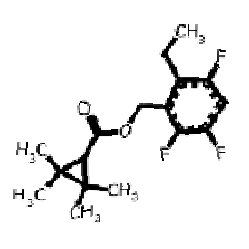 CCc1c(F)cc(F)c(F)c1COC(=O)C1C(C)(C)C1(C)C